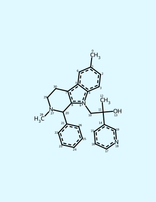 Cc1ccc2c(c1)c1c(n2CC(C)(O)c2cccnc2)C(c2ccccc2)N(C)CC1